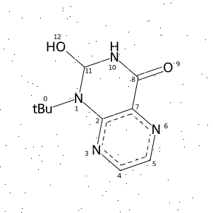 CC(C)(C)N1c2nccnc2C(=O)NC1O